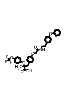 CC(Cc1ccc(OCC(=O)NCCc2ccc(Oc3ccccc3)cc2)cc1)(Oc1ccc(OC(F)(F)F)cc1)C(=O)O